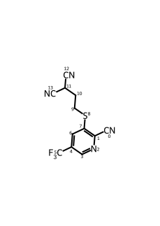 N#Cc1ncc(C(F)(F)F)cc1SCCC(C#N)C#N